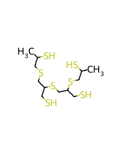 CC(S)CSCC(CS)SCC(CS)SCC(C)S